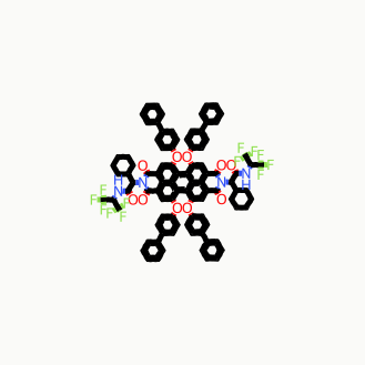 O=C(NC(C(F)(F)F)C(F)(F)F)C(C1CCCCC1)N1C(=O)c2cc(Oc3ccc(-c4ccccc4)cc3)c3c4c(Oc5ccc(-c6ccccc6)cc5)cc5c6c(cc(Oc7ccc(-c8ccccc8)cc7)c(c7c(Oc8ccc(-c9ccccc9)cc8)cc(c2c37)C1=O)c64)C(=O)N(C(C(=O)NC(C(F)(F)F)C(F)(F)F)C1CCCCC1)C5=O